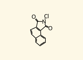 O=C1c2ccc3ccccc3c2C(=O)N1Cl